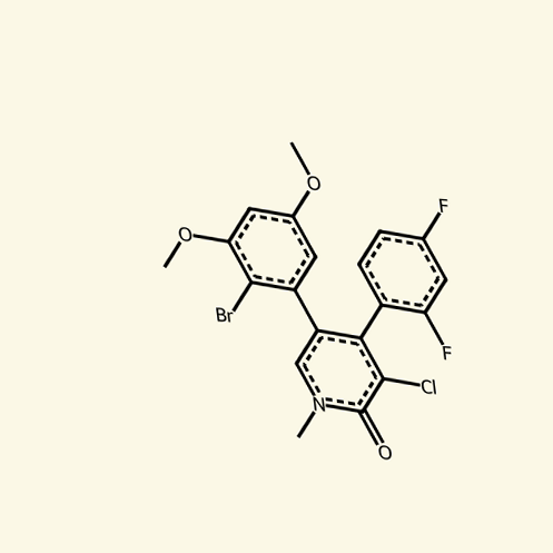 COc1cc(OC)c(Br)c(-c2cn(C)c(=O)c(Cl)c2-c2ccc(F)cc2F)c1